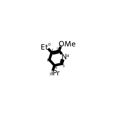 CCC1=C(OC)N=CC(C(C)C)C1